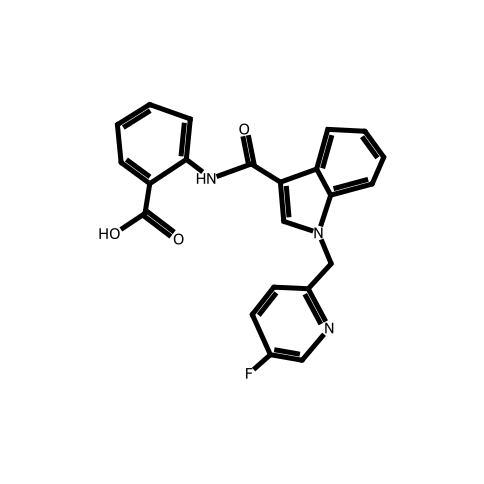 O=C(O)c1ccccc1NC(=O)c1cn(Cc2ccc(F)cn2)c2ccccc12